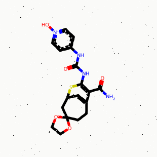 NC(=O)C1=C(NC(=O)Nc2cc[n+](O)cc2)SC2C=C1CCC1(C2)OCCO1